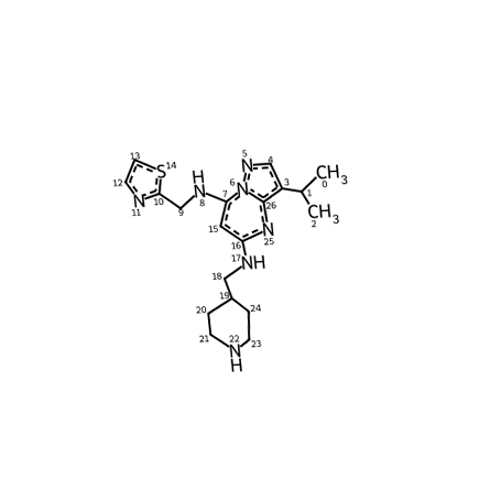 CC(C)c1cnn2c(NCc3nccs3)cc(NCC3CCNCC3)nc12